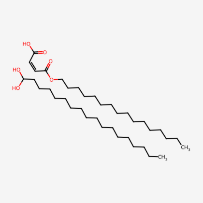 CCCCCCCCCCCCCCCCCC(O)O.CCCCCCCCCCCCCCCCOC(=O)/C=C\C(=O)O